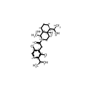 CC(O)c1ncc(Cl)c(CC(=O)N2CC[C@H]3[C@H]([C@H](O)C(F)(F)F)CCC[C@@H]3[C@@H]2C)c1Cl